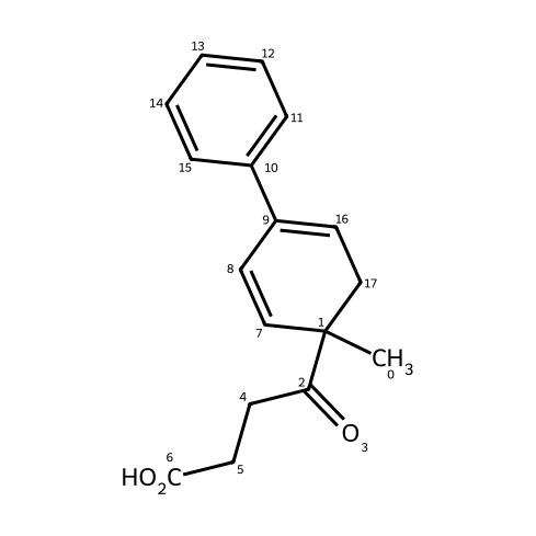 CC1(C(=O)CCC(=O)O)C=CC(c2ccccc2)=CC1